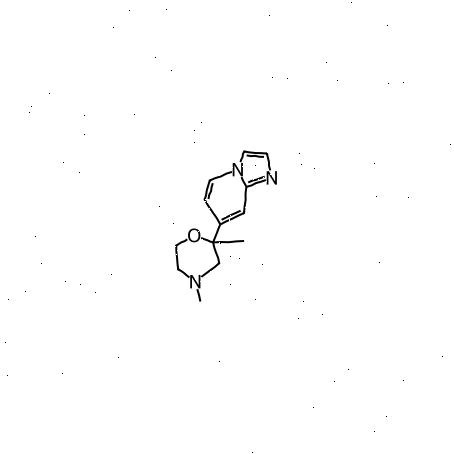 CN1CCOC(C)(c2ccn3ccnc3c2)C1